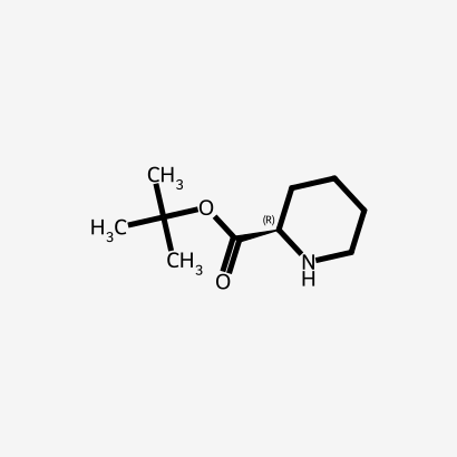 CC(C)(C)OC(=O)[C@H]1CCCCN1